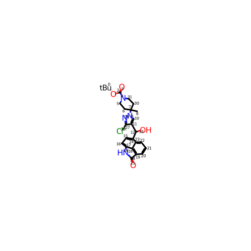 CC(C)(C)OC(=O)N1CCC(C)(n2cc(C(O)c3ccc4c5c(cccc35)C(=O)N4)c(Cl)n2)CC1